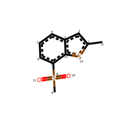 Cc1cc2cccc(S(C)(=O)=O)c2s1